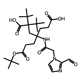 CC(C)(C)OC(=O)CCC(CCC(=O)O)(CC(C(=O)O)(C(C)(C)C)C(C)(C)C)NC(=O)Cn1ccnc1C=O